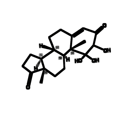 C[C@@]12C(=CC(=O)C(O)C1(O)O)CC[C@@H]1[C@@H]2CC[C@]2(C)C(=O)CC[C@@H]12